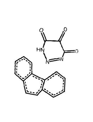 O=C1N=NNC(=O)C1=O.c1ccc2c(c1)ccc1ccccc12